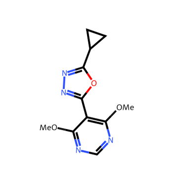 COc1ncnc(OC)c1-c1nnc(C2CC2)o1